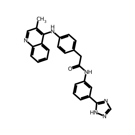 Cc1cnc2ccccc2c1Nc1ccc(CC(=O)Nc2cccc(-c3ncn[nH]3)c2)cc1